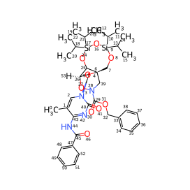 Cc1cn([C@@H]2O[C@]34CO[Si](C(C)C)(C(C)C)O[Si](C(C)C)(C(C)C)OC3[C@@H]2ON(C(=O)OCc2ccccc2)C4)c(=O)nc1NC(=O)c1ccccc1